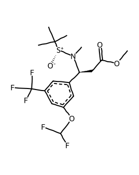 COC(=O)C[C@@H](c1cc(OC(F)F)cc(C(F)(F)F)c1)N(C)[S@+]([O-])C(C)(C)C